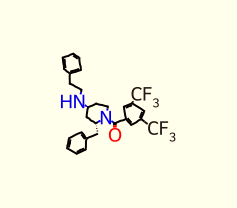 O=C(c1cc(C(F)(F)F)cc(C(F)(F)F)c1)N1CC[C@H](NCCc2ccccc2)C[C@H]1Cc1ccccc1